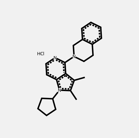 Cc1c(C)n(C2CCCC2)c2ccnc(N3CCc4ccccc4C3)c12.Cl